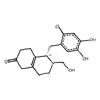 O=C1CCC2=C(CCN(CO)[C@H]2Cc2cc(O)c(O)cc2Cl)C1